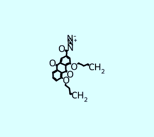 C=CCCOc1cccc2c1C(=O)c1c(OCCC=C)cc(C(=O)N=[N+]=[N-])cc1C2=O